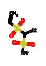 C=CS(=O)(=O)C(CC)S(=O)(=O)CCC